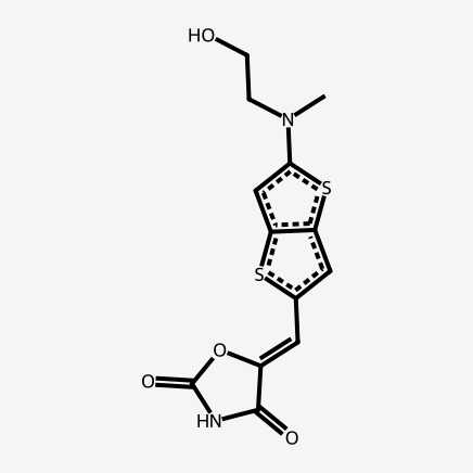 CN(CCO)c1cc2sc(/C=C3\OC(=O)NC3=O)cc2s1